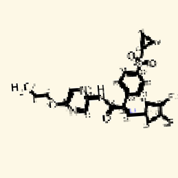 CCCOc1cnc(NC(=O)/C(=C/C2CC(F)C(F)C2)c2ccc(S(=O)(=O)C3CC3)cc2)cn1